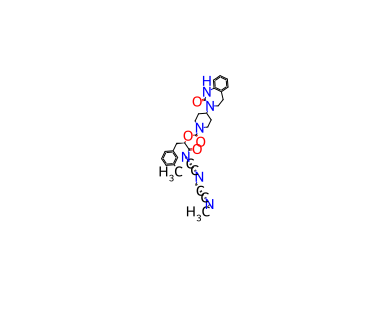 CN=C=C=CN=C=C=NC(=O)[C@@H](Cc1cccc(C)c1)OC(=O)N1CCC(N2CCc3ccccc3NC2=O)CC1